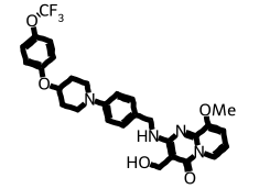 COc1cccn2c(=O)c(CO)c(NCc3ccc(N4CCC(Oc5ccc(OC(F)(F)F)cc5)CC4)cc3)nc12